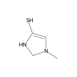 CN1C=C(S)NC1